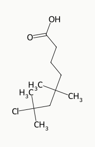 CC(C)(Cl)CC(C)(C)CCCC(=O)O